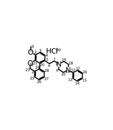 COc1ccc(CCN2CCN(c3ccccc3)CC2)c2c1OCc1ccccc1-2.Cl